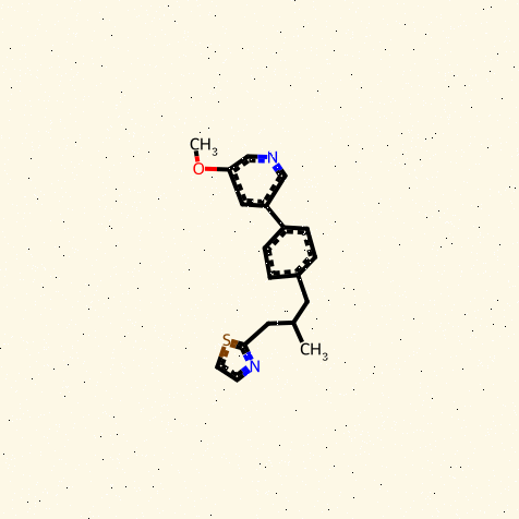 COc1cncc(-c2ccc(CC(C)Cc3nccs3)cc2)c1